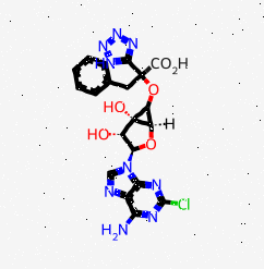 Nc1nc(Cl)nc2c1ncn2[C@@H]1O[C@@H]2C(OC(Cc3ccccc3)(C(=O)O)c3nnn[nH]3)[C@]2(O)[C@H]1O